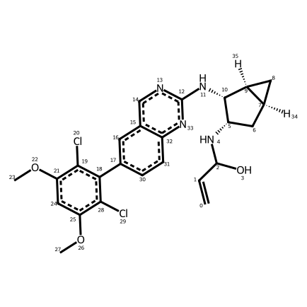 C=CC(O)N[C@H]1C[C@@H]2C[C@@H]2[C@H]1Nc1ncc2cc(-c3c(Cl)c(OC)cc(OC)c3Cl)ccc2n1